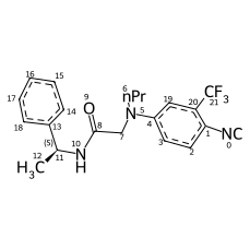 [C-]#[N+]c1ccc(N(CCC)CC(=O)N[C@@H](C)c2ccccc2)cc1C(F)(F)F